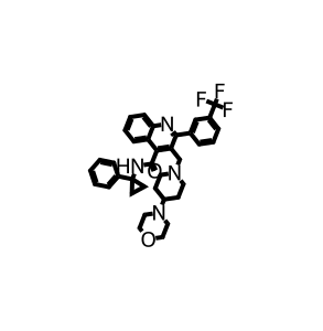 O=C(NC1(c2ccccc2)CC1)c1c(CN2CCC(N3CCOCC3)CC2)c(-c2cccc(C(F)(F)F)c2)nc2ccccc12